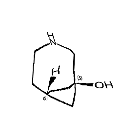 O[C@]12CNCC[C@H]1C2